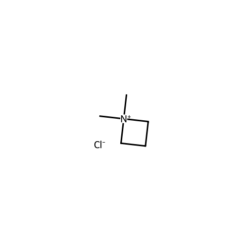 C[N+]1(C)CCC1.[Cl-]